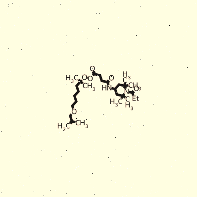 C=C(C)COCCCCCC(C)(C)OOC(=O)CCC(=O)NC1CC(C)(C)N(C(=O)CC)C(C)(C)C1